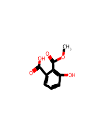 COC(=O)c1c(O)cccc1C(=O)O